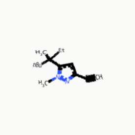 C#Cc1cc(C(C)(CC)CCCC)n(C)n1